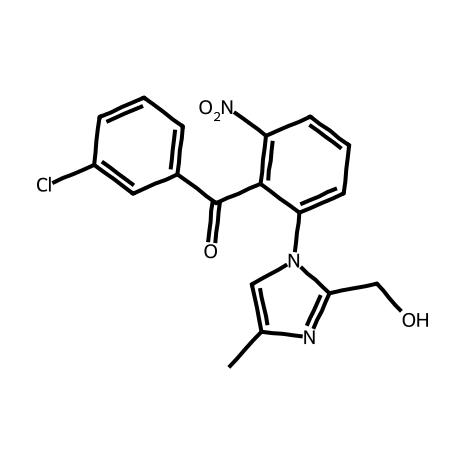 Cc1cn(-c2cccc([N+](=O)[O-])c2C(=O)c2cccc(Cl)c2)c(CO)n1